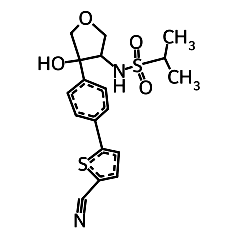 CC(C)S(=O)(=O)NC1COCC1(O)c1ccc(-c2ccc(C#N)s2)cc1